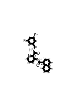 O=C(NCc1cc(F)cc(F)c1)c1ncccc1NC(=O)c1cccc2ccccc12